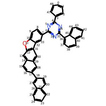 c1ccc(-c2nc(-c3ccc4oc5cc6ccc(-c7ccc8ccccc8c7)cc6cc5c4c3)nc(-c3cccc4ccccc34)n2)cc1